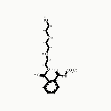 CCOC(=O)NC(=O)c1ccccc1C(=O)OCCOCCOCCO